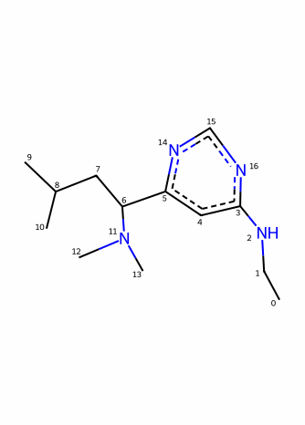 CCNc1cc(C(CC(C)C)N(C)C)ncn1